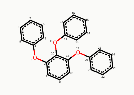 [c]1cc(Oc2ccccc2)c(Oc2ccccc2)c(Oc2ccccc2)c1